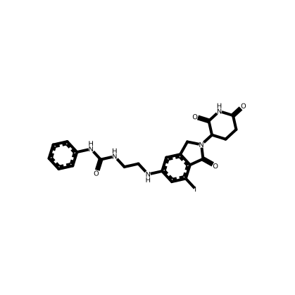 O=C1CCC(N2Cc3cc(NCCNC(=O)Nc4ccccc4)cc(I)c3C2=O)C(=O)N1